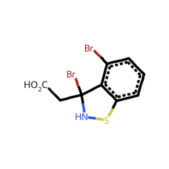 O=C(O)CC1(Br)NSc2cccc(Br)c21